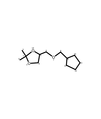 CC1(C)OCC(COCC2CCCC2)O1